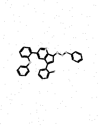 Fc1ccccc1C1=CC(OOSc2ccccc2)c2ncc(-c3ccccc3Oc3ccccc3)cc21